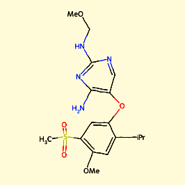 COCNc1ncc(Oc2cc(S(C)(=O)=O)c(OC)cc2C(C)C)c(N)n1